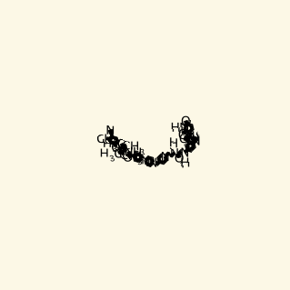 CC1(C)[C@H](NC(=O)c2ccc(N3CCN(CC4CCN(CCNC(=O)CNc5ccc6nnn(C7CCC(=O)NC7=O)c(=O)c6c5)CC4)CC3)cc2)C(C)(C)[C@H]1Oc1ccc(C#N)c(Cl)c1